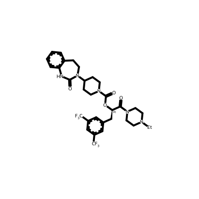 CCN1CCN(C(=O)[C@@H](Cc2cc(C(F)(F)F)cc(C(F)(F)F)c2)OC(=O)N2CCC(N3CCc4ccccc4NC3=O)CC2)CC1